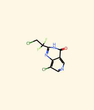 O=c1[nH]c(C(F)(F)CCl)nc2c(Cl)cncc12